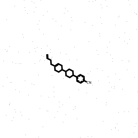 C=CCCC1=CCC(C2CCC(c3ccc(C#N)cc3)CC2)CC1